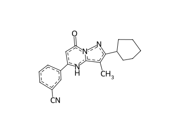 Cc1c(C2CCCCC2)nn2c(=O)cc(-c3cccc(C#N)c3)[nH]c12